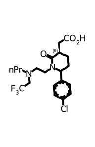 CCCN(CCN1C(=O)[C@@H](CC(=O)O)CCC1c1ccc(Cl)cc1)CC(F)(F)F